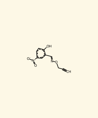 C#CCON=Cc1cc([N+](=O)[O-])ccc1O